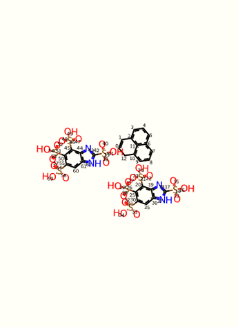 C1=Cc2cccc3cccc(c23)C1.O=S(=O)(O)c1nc2c(S(=O)(=O)O)c(S(=O)(=O)O)c(S(=O)(=O)O)cc2[nH]1.O=S(=O)(O)c1nc2c(S(=O)(=O)O)c(S(=O)(=O)O)c(S(=O)(=O)O)cc2[nH]1